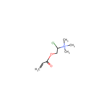 C=CC(=O)OCC(Cl)[N+](C)(C)C